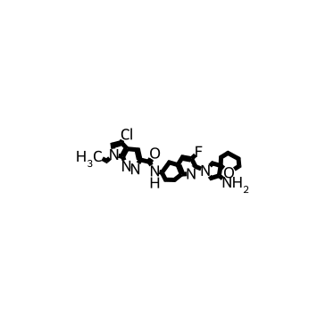 CCn1cc(Cl)c2cc(C(=O)NC3CCc4nc(N5CC(N)C6(CCCCO6)C5)c(F)cc4C3)nnc21